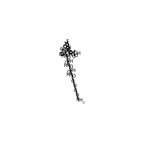 CC[C@]1(O)C(=O)OCc2c1cc1n(c2=O)Cc2c-1nc1cc(F)c(C)c3c1c2[C@H](NC(=O)[C@@H]1COCCN1C(=O)CNC(=O)CNC(=O)CNC(=O)CNC(=O)CNC(=O)CCOCCOCCOCCOCCN)CC3